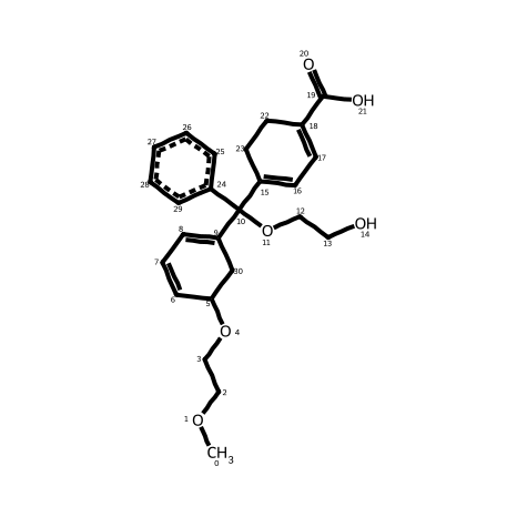 COCCOC1C=CC=C(C(OCCO)(C2=CC=C(C(=O)O)CC2)c2ccccc2)C1